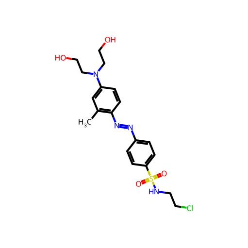 Cc1cc(N(CCO)CCO)ccc1/N=N/c1ccc(S(=O)(=O)NCCCl)cc1